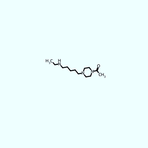 CCNCCCCCN1CCN(C(C)=O)CC1